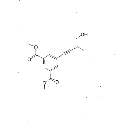 COC(=O)c1cc(C#CC(C)CO)cc(C(=O)OC)c1